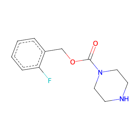 O=C(OCc1ccccc1F)N1CCNCC1